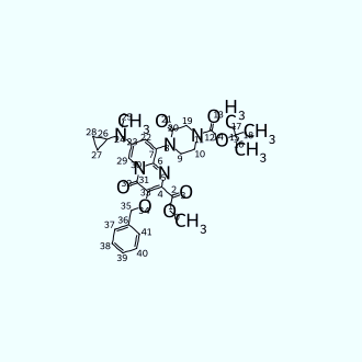 COC(=O)c1nc2c(N3CCN(C(=O)OC(C)(C)C)CC3=O)cc(N(C)C3CC3)cn2c(=O)c1OCc1ccccc1